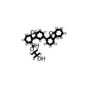 CC(C)(O)C(C)(C)OBc1cccc2oc3ccc(-c4cccc5c4oc4ccccc45)cc3c12